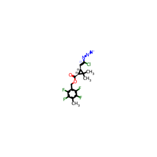 Cc1c(F)c(F)c(COC(=O)[C@H]2[C@@H](/C=C(\Cl)N=[N+]=[N-])C2(C)C)c(F)c1F